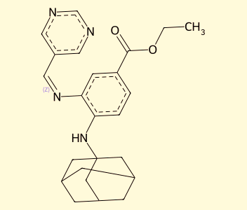 CCOC(=O)c1ccc(NC23CC4CC(CC(C4)C2)C3)c(/N=C\c2cncnc2)c1